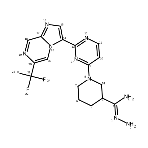 N/N=C(\N)C1CCCN(c2ccnc(-c3cnc4cnc(C(F)(F)F)cn34)n2)C1